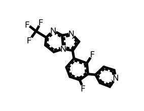 Fc1ccc(-c2cnc3nc(C(F)(F)F)ccn23)c(F)c1-c1ccncc1